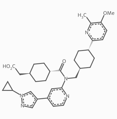 COc1ccc([C@H]2CC[C@H](CN(c3cc(-c4cnn(C5CC5)c4)ccn3)C(=O)[C@H]3CC[C@H](CC(=O)O)CC3)CC2)nc1C